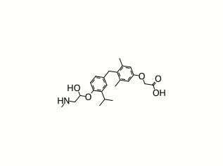 CNCC(O)Oc1ccc(Cc2c(C)cc(OCC(=O)O)cc2C)cc1C(C)C